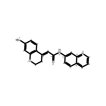 CC(C)(C)c1ccc2c(c1)OCC/C2=C\C(=O)Nc1ccc2cccnc2c1